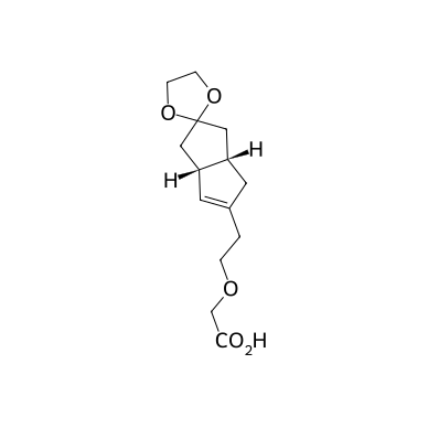 O=C(O)COCCC1=C[C@@H]2CC3(C[C@@H]2C1)OCCO3